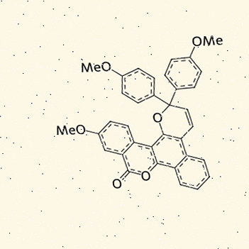 COc1ccc(C2(c3ccc(OC)cc3)C=Cc3c(c4c5ccc(OC)cc5c(=O)oc4c4ccccc34)O2)cc1